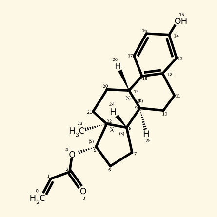 C=CC(=O)O[C@H]1CC[C@H]2[C@@H]3CCc4cc(O)ccc4[C@H]3CC[C@]12C